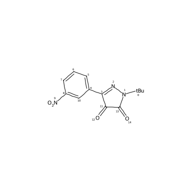 CC(C)(C)N1N=C(c2cccc([N+](=O)[O-])c2)C(=O)C1=O